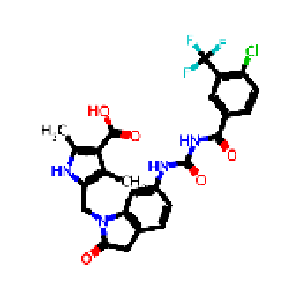 Cc1[nH]c(CN2C(=O)Cc3ccc(NC(=O)NC(=O)c4ccc(Cl)c(C(F)(F)F)c4)cc32)c(C)c1C(=O)O